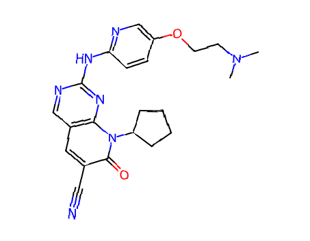 CN(C)CCOc1ccc(Nc2ncc3cc(C#N)c(=O)n(C4CCCC4)c3n2)nc1